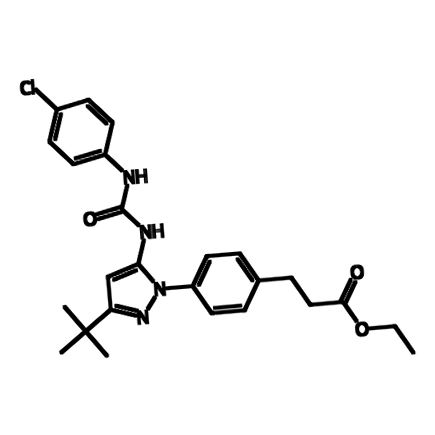 CCOC(=O)CCc1ccc(-n2nc(C(C)(C)C)cc2NC(=O)Nc2ccc(Cl)cc2)cc1